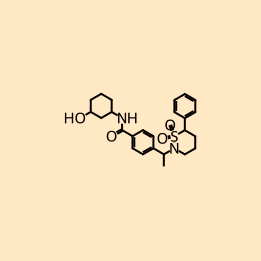 CC(c1ccc(C(=O)NC2CCCC(O)C2)cc1)N1CCCC(c2ccccc2)S1(=O)=O